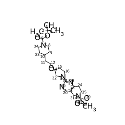 CC(C)(C)OC(=O)N1CCC(CCO[C@H]2CCN(c3ncc4c(n3)CCN(S(C)(=O)=O)C4)C2)CC1